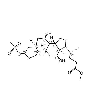 COC(=O)CC[C@@H](C)C1CC[C@H]2[C@@H]3[C@H](O)C[C@@H]4C[C@H](OS(C)(=O)=O)CC[C@]4(C)[C@H]3C[C@H](O)[C@]12C